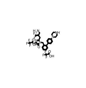 NCC(Cc1n[nH]c(=O)n1Cc1ccccc1-c1ccc(N2CCNCC2)cc1)=C(F)F.O=C(O)C(F)(F)F.O=C(O)C(F)(F)F